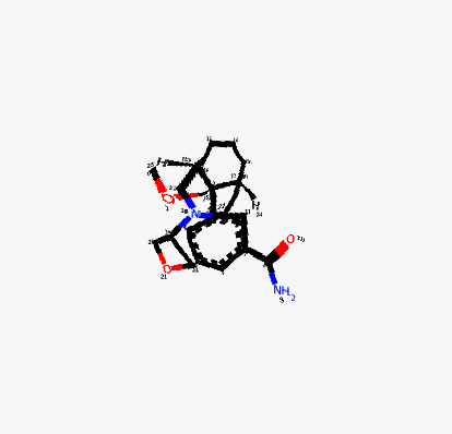 CO[C@]1(c2cccc(C(N)=O)c2)[C@@H]2CCC[C@H]1CN(C1COC1)C2